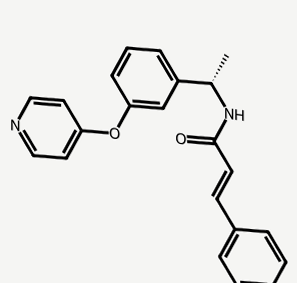 C[C@H](NC(=O)C=Cc1ccccc1)c1cccc(Oc2ccncc2)c1